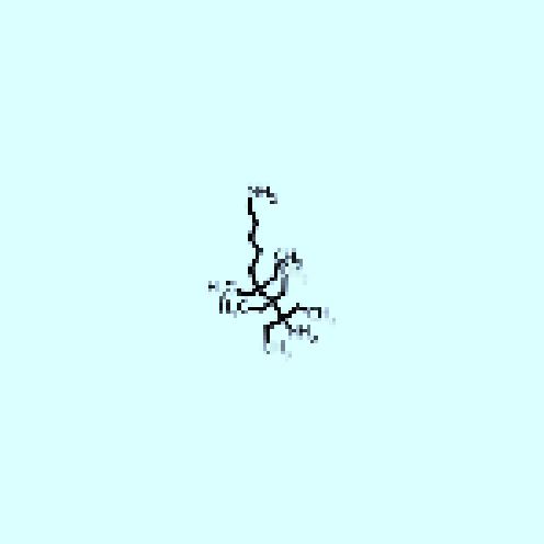 CCC(N)(CC)C(CC)(CC)C(CC)(CC)CCCCCN